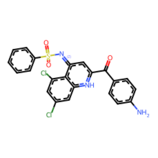 Nc1ccc(C(=O)c2c/c(=N/S(=O)(=O)c3ccccc3)c3c(Cl)cc(Cl)cc3[nH]2)cc1